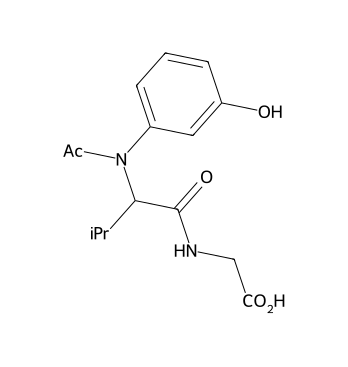 CC(=O)N(c1cccc(O)c1)C(C(=O)NCC(=O)O)C(C)C